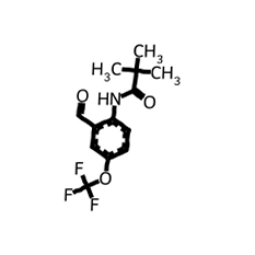 CC(C)(C)C(=O)Nc1ccc(OC(F)(F)F)cc1C=O